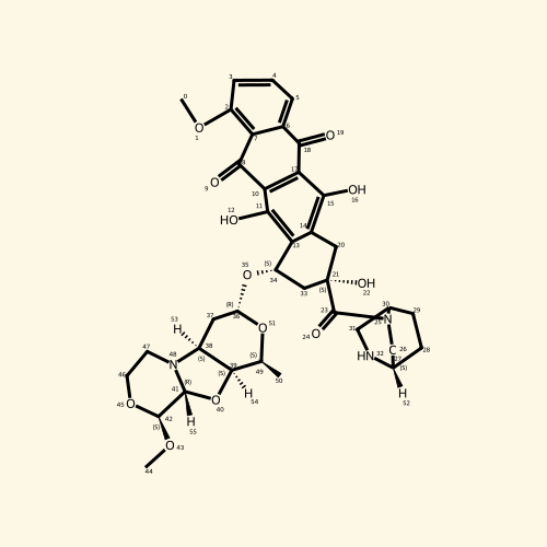 COc1cccc2c1C(=O)c1c(O)c3c(c(O)c1C2=O)C[C@@](O)(C(=O)N1C[C@@H]2CCC1CN2)C[C@@H]3O[C@H]1C[C@H]2[C@H](O[C@@H]3[C@@H](OC)OCCN32)[C@H](C)O1